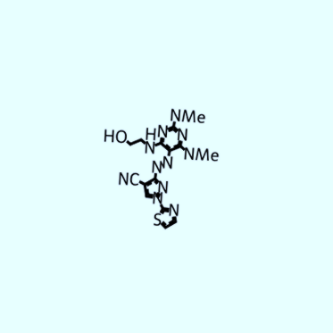 CNc1nc(NC)c(/N=N/c2nn(-c3nccs3)cc2C#N)c(NCCO)n1